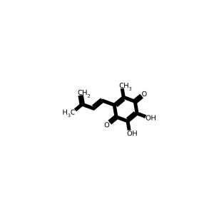 C=C(C)C=CC1=C(C)C(=O)C(O)=C(O)C1=O